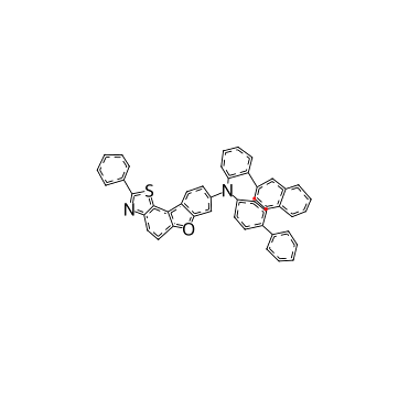 c1ccc(-c2ccc(N(c3ccc4c(c3)oc3ccc5nc(-c6ccccc6)sc5c34)c3ccccc3-c3ccc4ccccc4c3)cc2)cc1